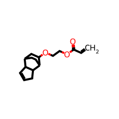 C=CC(=O)OCCOC1CC2CCC1C1CC=CC21